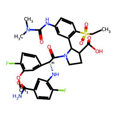 CCS(=O)(=O)c1ccc(NC(=O)N(C)C)cc1C1C(C(=O)O)CCN1C(=O)[C@H](Nc1cc(C(N)=O)ccc1F)c1ccc(F)c(OC)c1